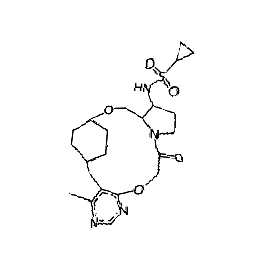 Cc1ncnc2c1C1CCC(CC1)OCC1C(NS(=O)(=O)C3CC3)CCN1C(=O)CO2